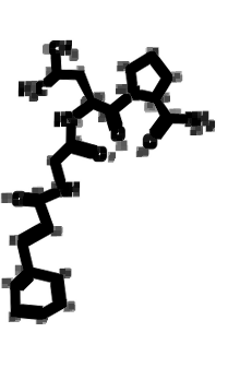 CC(C)C[C@H](NC(=O)CNC(=O)C=Cc1ccccc1)C(=O)N1CCC[C@H]1C(N)=O